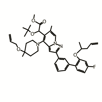 C=CCOC1(C)CCN(c2c(C(OC(C)(C)C)C(=O)OC)c(C)cn3nc(-c4cccc(-c5ccc(F)cc5OC(C)CC=C)c4)cc23)CC1